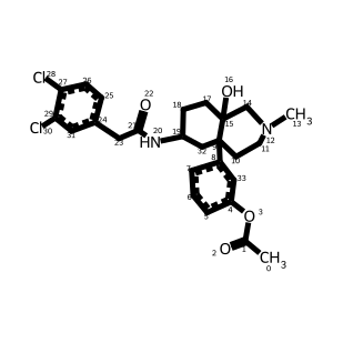 CC(=O)Oc1cccc(C23CCN(C)CC2(O)CCC(NC(=O)Cc2ccc(Cl)c(Cl)c2)C3)c1